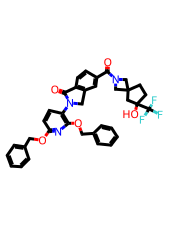 O=C(c1ccc2c(c1)CN(c1ccc(OCc3ccccc3)nc1OCc1ccccc1)C2=O)N1CC2(CCC(O)(C(F)(F)F)C2)C1